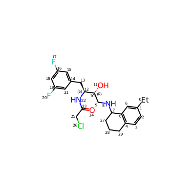 CCc1ccc2c(c1)C(NC[C@@H](O)[C@H](Cc1cc(F)cc(F)c1)NC(=O)CCl)CCC2